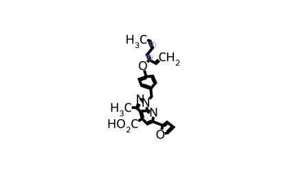 C=C/C(=C\C=C/C)Oc1ccc(Cn2nc(C)c3c(C(=O)O)cc(-c4ccco4)nc32)cc1